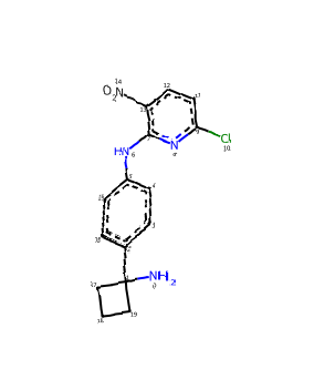 NC1(c2ccc(Nc3nc(Cl)ccc3[N+](=O)[O-])cc2)CCC1